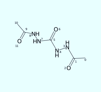 CC(=O)NNC(=O)NNC(C)=O